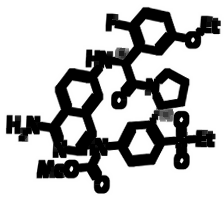 CCOc1ccc(F)c([C@H](Nc2ccc3c(N)nccc3c2)C(=O)N2CCC[C@@H]2c2cc(NC(=O)OC)ccc2S(=O)(=O)CC)c1